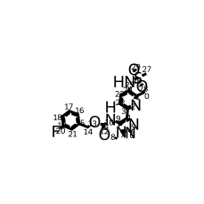 Cc1nc(-c2nnn(C)c2NC(=O)OCc2cccc(F)c2)ccc1NS(C)(=O)=O